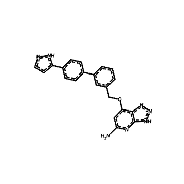 Nc1cc(OCc2cccc(-c3ccc(-c4ccn[nH]4)cc3)c2)c2nn[nH]c2n1